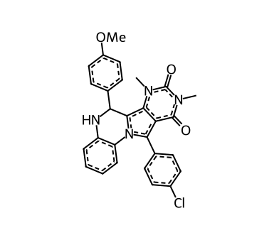 COc1ccc(C2Nc3ccccc3-n3c(-c4ccc(Cl)cc4)c4c(=O)n(C)c(=O)n(C)c4c32)cc1